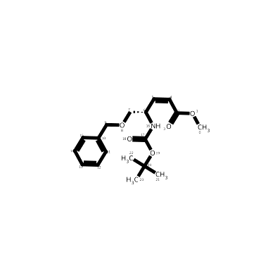 COC(=O)/C=C\[C@@H](COCc1ccccc1)NC(=O)OC(C)(C)C